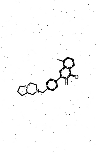 Cc1cccc2c(=O)[nH]c(-c3ccc(CN4CCN5CCCC5C4)cc3)cc12